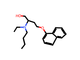 CCCCN(CC)C(CO)CCOc1cccc2ccccc12